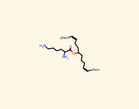 CCCCC/C=C\CCCC(CC/C=C\CCCCC)OC(=O)C(N)CCCCN